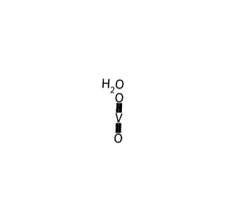 O.[O]=[V]=[O]